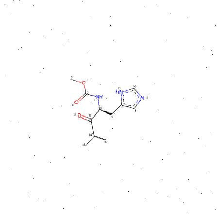 COC(=O)N[C@@H](Cc1cnc[nH]1)C(=O)C(C)C